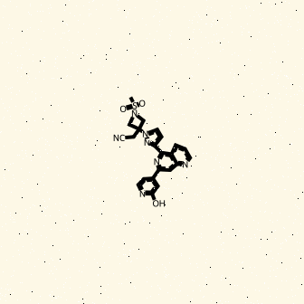 CS(=O)(=O)N1CC(CC#N)(n2ccc(-c3nc(-c4ccnc(O)c4)cc4ncccc34)n2)C1